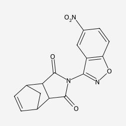 O=C1C2C3C=CC(C3)C2C(=O)N1c1noc2ccc([N+](=O)[O-])cc12